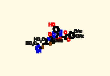 CO[C@@]1(NC(=O)C(NC(=O)c2coc3cc(OC(C)=O)c(OC(C)=O)cc3c2=O)c2ccc(O)cc2)C(=O)N2C(C(=O)O)=C(CSc3nnnn3CC(=O)O)CS[C@H]21